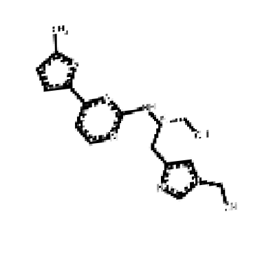 Cc1ccc(-c2ccnc(N[C@H](CO)Cc3cn(CC#N)cn3)n2)s1